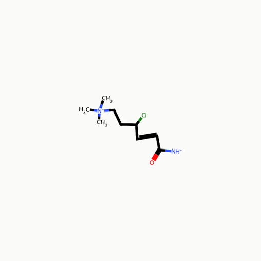 C[N+](C)(C)CCC(Cl)C=CC([NH-])=O